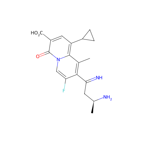 Cc1c(C(=N)C[C@H](C)N)c(F)cn2c(=O)c(C(=O)O)cc(C3CC3)c12